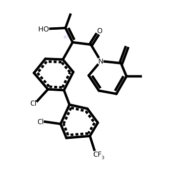 C=C1C(C)=CC=CN1C(=O)/C(=C(\C)O)c1ccc(Cl)c(-c2ccc(C(F)(F)F)cc2Cl)c1